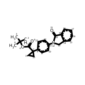 CC(C)(C)OC(=O)C1(c2ccc(N3Cc4ccccc4C3=O)cc2)CC1